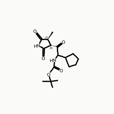 C[C@@H]1C(=O)NC(=O)[C@H]1C(=O)C(NC(=O)OC(C)(C)C)C1CCCC1